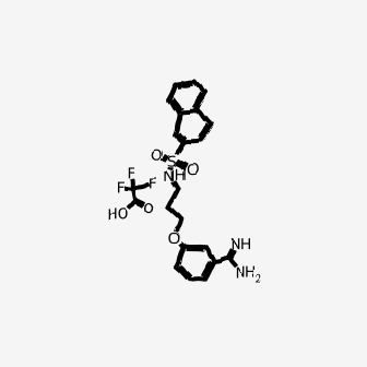 N=C(N)c1cccc(OCCCNS(=O)(=O)c2ccc3ccccc3c2)c1.O=C(O)C(F)(F)F